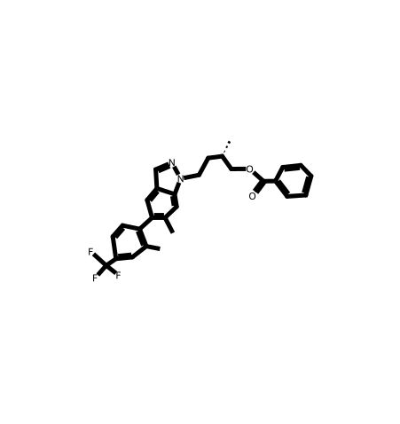 Cc1cc(C(F)(F)F)ccc1-c1cc2cnn(CC[C@H](C)COC(=O)c3ccccc3)c2cc1C